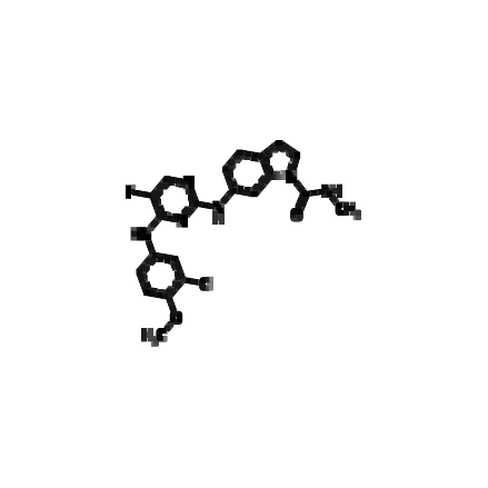 CNC(=O)n1ccc2ccc(Nc3ncc(F)c(Nc4ccc(OC)c(Cl)c4)n3)cc21